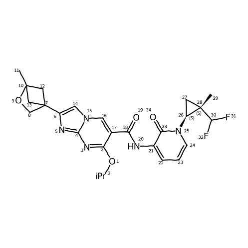 CC(C)Oc1nc2nc(C34COC(C)(C3)C4)cn2cc1C(=O)Nc1cccn([C@H]2C[C@]2(C)C(F)F)c1=O